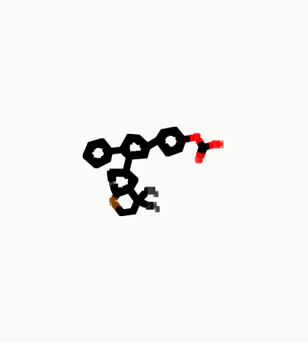 CC1(C)CCSc2ccc(-c3cc(-c4ccc(OC(=O)O)cc4)ccc3-c3ccccc3)cc21